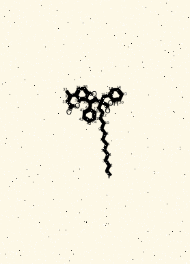 CCCCCCCCCCCCCCC(Cc1ccccc1)(C(=O)O)c1oc2ccc3c(C)cc(=O)oc3c2c1-c1ccccc1